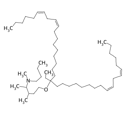 CCCCC/C=C\C/C=C\CCCCCCCCC(CC)(CCCCCCCC/C=C\C/C=C\CCCCC)OCCC(C)C(C)N(C)CCCC